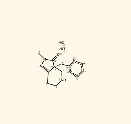 CN1N=C2CCNC[C@]2(Cc2ccccn2)C1=O.Cl.Cl